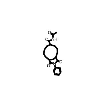 CC(=O)NC(=O)C1CCCCC2CC(CCC1)C(=O)N(c1ccccc1)C2=O